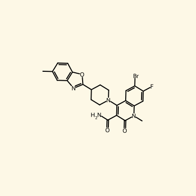 Cc1ccc2oc(C3CCN(c4c(C(N)=O)c(=O)n(C)c5cc(F)c(Br)cc45)CC3)nc2c1